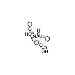 C[C@H](Cc1ccc(OCC(=O)O)cc1)N(C[C@H](O)COc1ccccc1)C[C@H](O)COc1ccccc1